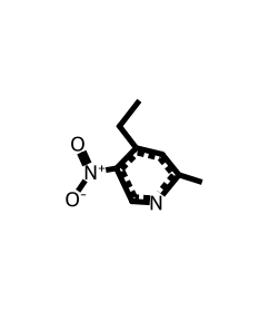 CCc1cc(C)ncc1[N+](=O)[O-]